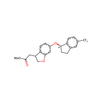 COC(=O)CC1COc2cc(O[C@@H]3CCc4cc(C(F)(F)F)ccc43)ccc21